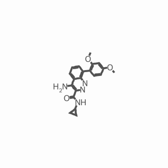 COc1ccc(-c2cccc3c(N)c(C(=O)NC4CC4)nnc23)c(OC)c1